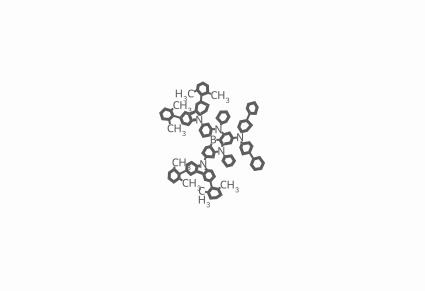 Cc1cccc(C)c1-c1ccc2c(c1)c1cc(-c3c(C)cccc3C)ccc1n2-c1ccc2c(c1)N(c1ccccc1)c1cc(N(c3ccc(-c4ccccc4)cc3)c3ccc(-c4ccccc4)cc3)cc3c1B2c1ccc(-n2c4ccc(-c5c(C)cccc5C)cc4c4cc(-c5c(C)cccc5C)ccc42)cc1N3c1ccccc1